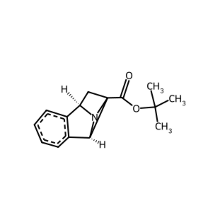 CC(C)(C)OC(=O)C12C[C@@H]3c4ccccc4[C@H]1N32